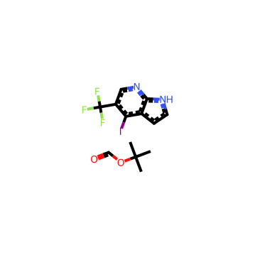 CC(C)(C)OC=O.FC(F)(F)c1cnc2[nH]ccc2c1I